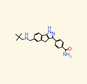 CC(C)(C)CNCc1ccc2c(c1)Cc1c(-c3ccc(C(N)=O)cc3)n[nH]c1-2